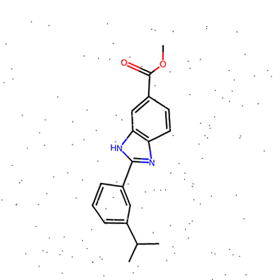 COC(=O)c1ccc2nc(-c3cccc(C(C)C)c3)[nH]c2c1